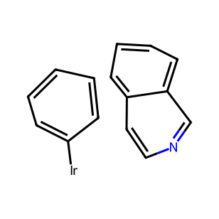 [Ir][c]1ccccc1.c1ccc2cnccc2c1